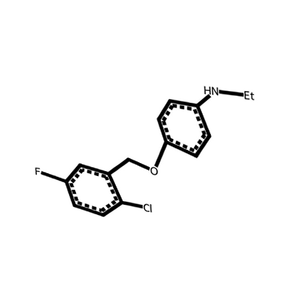 CCNc1ccc(OCc2cc(F)ccc2Cl)cc1